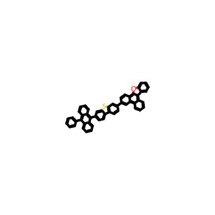 c1ccc(-c2c3ccccc3c(-c3ccc4c(c3)sc3cc(-c5ccc6c(c5)c5ccccc5c5c7ccccc7oc65)ccc34)c3ccccc23)cc1